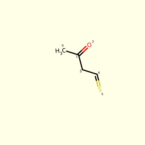 CC(=O)[CH]C=S